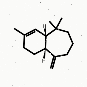 C=C1CCCC(C)(C)[C@H]2C=C(C)CC[C@@H]12